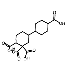 O=C(O)C1CCC(C2CCC(C(=O)O)C(C(=O)O)(C(=O)O)C2)CC1